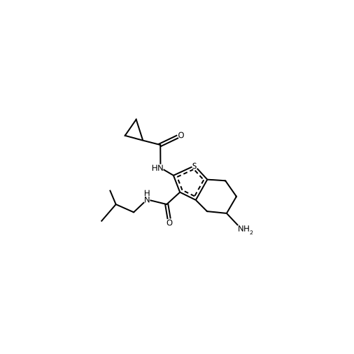 CC(C)CNC(=O)c1c(NC(=O)C2CC2)sc2c1CC(N)CC2